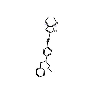 C/C=C1/C=C(C#Cc2ccc(N(CCF)Cc3ccccc3)cc2)N/C1=N/C